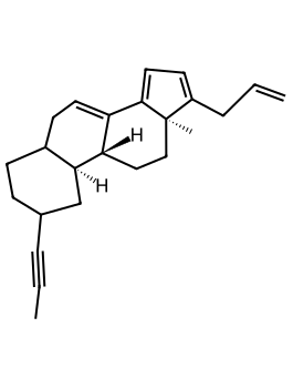 C=CCC1=CC=C2C3=CCC4CCC(C#CC)C[C@@H]4[C@H]3CC[C@]12C